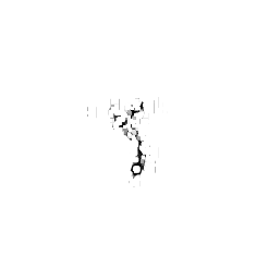 CC(C)C[C@H](NC(=O)OC(C)(C)C)C(=O)N1CCN(C(=O)CNS(=O)(=O)c2ccc(Cl)cc2Cl)CC1